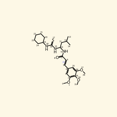 COc1cc(/C=C/C(=O)NC(CC(C)C)NC(=S)NC2CCCCC2)cc(OC)c1OC